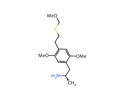 COCSCCc1cc(OC)c(C[C@@H](C)N)cc1OC